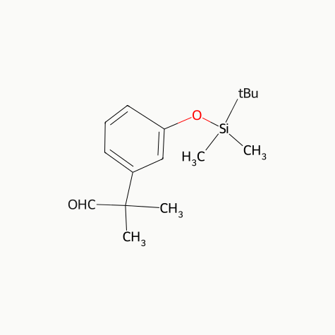 CC(C)(C=O)c1cccc(O[Si](C)(C)C(C)(C)C)c1